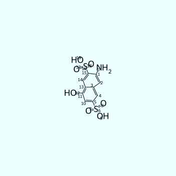 Nc1cc2cc(S(=O)(=O)O)cc(O)c2cc1S(=O)(=O)O